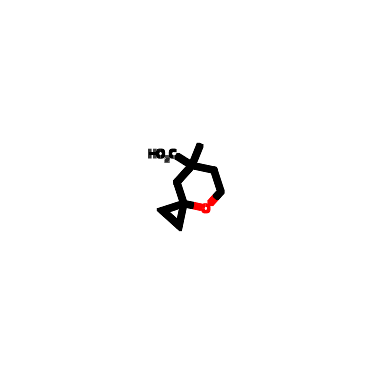 CC1(C(=O)O)CCOC2(CC2)C1